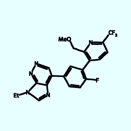 CCn1cnc2c(-c3ccc(F)c(-c4ccc(C(F)(F)F)nc4COC)c3)cnnc21